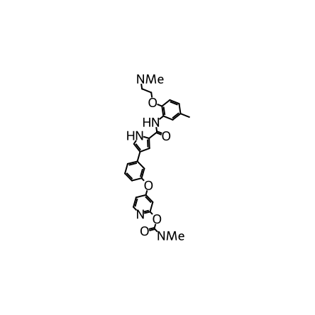 CNCCOc1ccc(C)cc1NC(=O)c1cc(-c2cccc(Oc3ccnc(OC(=O)NC)c3)c2)c[nH]1